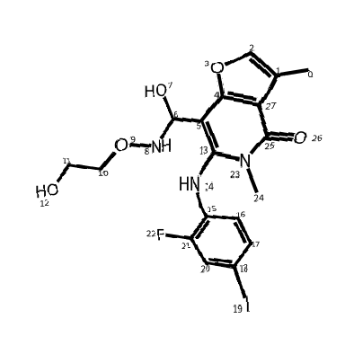 Cc1coc2c(C(O)NOCCO)c(Nc3ccc(I)cc3F)n(C)c(=O)c12